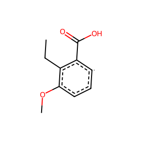 CCc1c(C(=O)O)[c]ccc1OC